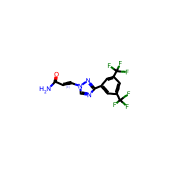 NC(=O)/C=C/n1cnc(-c2cc(C(F)(F)F)cc(C(F)(F)F)c2)n1